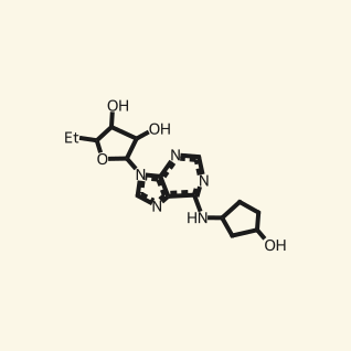 CCC1OC(n2cnc3c(NC4CCC(O)C4)ncnc32)C(O)C1O